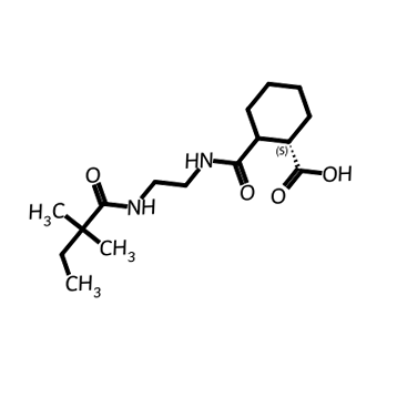 CCC(C)(C)C(=O)NCCNC(=O)C1CCCC[C@@H]1C(=O)O